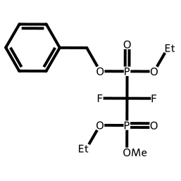 CCOP(=O)(OC)C(F)(F)P(=O)(OCC)OCc1ccccc1